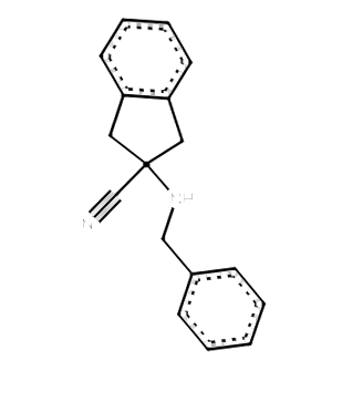 N#CC1(NCc2ccccc2)Cc2ccccc2C1